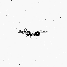 COc1ccc(CNC(=O)C2CCN(C(=O)OC(C)(C)C)CC2)cc1